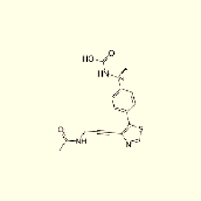 CC(=O)NCC#Cc1ncsc1-c1ccc([C@H](C)NC(=O)O)cc1